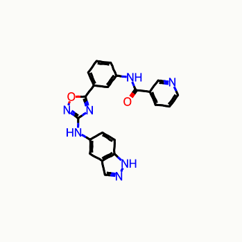 O=C(Nc1cccc(-c2nc(Nc3ccc4[nH]ncc4c3)no2)c1)c1cccnc1